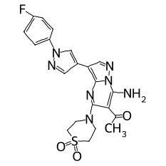 CC(=O)c1c(N2CCS(=O)(=O)CC2)nc2c(-c3cnn(-c4ccc(F)cc4)c3)cnn2c1N